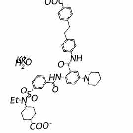 CCN([C@H]1CC[C@H](C(=O)[O-])CC1)S(=O)(=O)c1cccc(C(=O)Nc2ccc(N3CCCCC3)cc2C(=O)Nc2ccc(CCc3ccc(C(=O)[O-])cc3)cc2)c1.O.[K+].[K+]